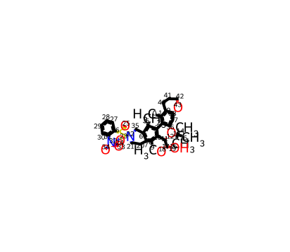 Cc1c(-c2c(C)c3c(c(C)c2[C@@H](OC(C)(C)C)C(=O)O)CCN(S(=O)(=O)c2ccccc2[N+](=O)[O-])C3)ccc2c1CCCO2